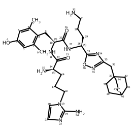 Cc1cc(O)cc(C)c1C[C@H](NC(=O)[C@H](N)CCCn1ccnc1N)C(=O)N[C@@H](CCCN)c1nc(CC23CCC(CC2)CC3)no1